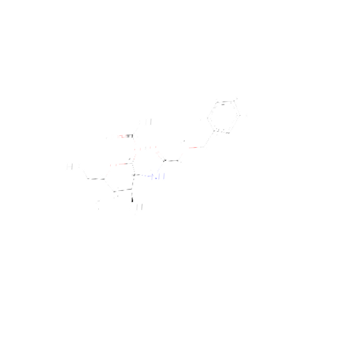 CCC1OC(OC(C)=O)C(NC(=O)COCc2ccccc2)[C@@H](C)[C@@H]1C